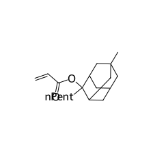 C=CC(=O)OC1(CCCCC)C2CC3CC1CC(C)(C3)C2